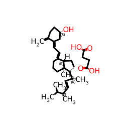 C=C1CC[C@H](O)CC1=CC=C1CCC[C@]2(C)[C@@H]([C@H](C)C=C[C@H](C)C(C)C)CC[C@@H]12.O=C(O)CCC(=O)O